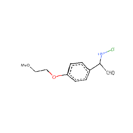 COCCOc1ccc(C(C=O)NCl)cc1